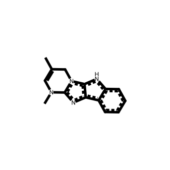 CC1=CN(C)c2nc3c4ccccc4[nH]c3n2C1